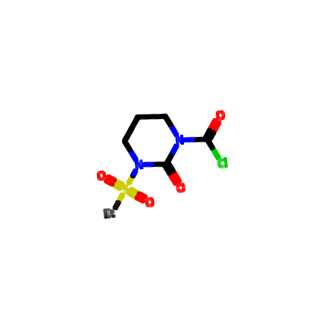 CCS(=O)(=O)N1CCCN(C(=O)Cl)C1=O